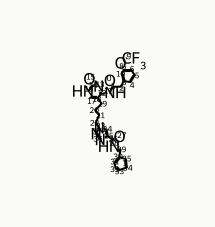 O=C(Cc1cccc(OC(F)(F)F)c1)Nc1nc(=O)[nH]cc1CCCCn1cc(C(=O)NCc2ccccc2)nn1